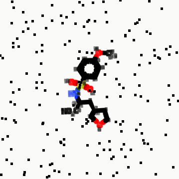 O=C(O)[C@H](C[C@H]1CCOC1)NS(=O)(=O)c1ccc(OC(F)(F)F)cc1